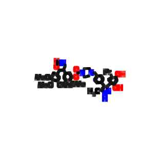 COc1ccc(/C(C=N)=C(/O)c2cc(OC)c(OC)c(OC)c2)cc1OC(=O)N1CCN(Cc2ccc(-c3c(-c4cc(C(C)C)c(O)cc4O)n[nH]c3C)cc2)CC1